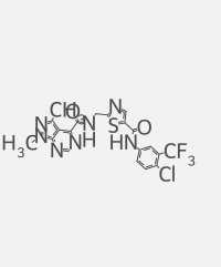 Cc1nn(C)c2ncnc(C(=O)NCc3ncc(C(=O)Nc4ccc(Cl)c(C(F)(F)F)c4)s3)c12